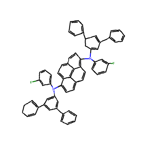 Fc1cccc(N(C2=CC(c3ccccc3)=CC(c3ccccc3)C2)c2ccc3ccc4c(N(c5cccc(F)c5)c5cc(C6=CCCC=C6)cc(-c6ccccc6)c5)ccc5ccc2c3c54)c1